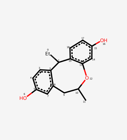 CCC1c2ccc(O)cc2CC(C)Oc2cc(O)ccc21